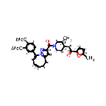 COc1ccc(/C2=C/C=C\CCc3cc(C(=O)N4CCC(CC(=O)c5ccc(C)o5)[C@@H](C)C4)nn32)cc1OC